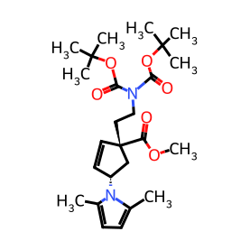 COC(=O)[C@@]1(CCN(C(=O)OC(C)(C)C)C(=O)OC(C)(C)C)C=C[C@@H](n2c(C)ccc2C)C1